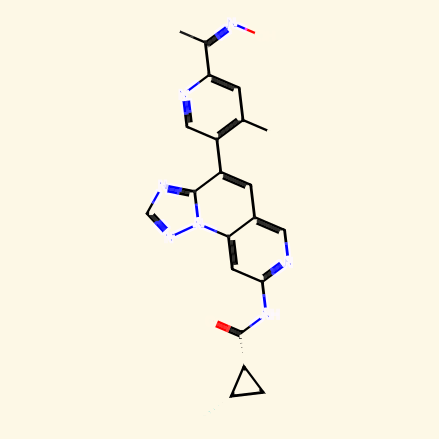 CC/C(=N/O)c1cc(C)c(-c2cc3cnc(NC(=O)[C@@H]4C[C@@H]4F)cc3n3ncnc23)cn1